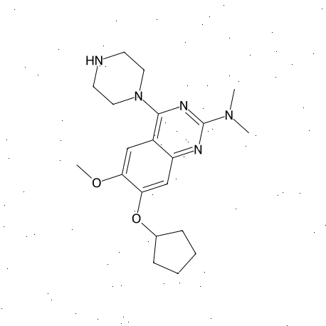 COc1cc2c(N3CCNCC3)nc(N(C)C)nc2cc1OC1CCCC1